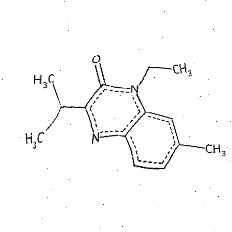 CCn1c(=O)c(C(C)C)nc2ccc(C)cc21